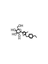 CCc1ccc(Cc2sc([C@@H]3O[C@H](CO)[C@@H](O)[C@H](O)[C@H]3O)cc2C)cc1